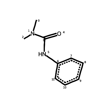 CN(C)C(=O)Nc1[c]cccc1